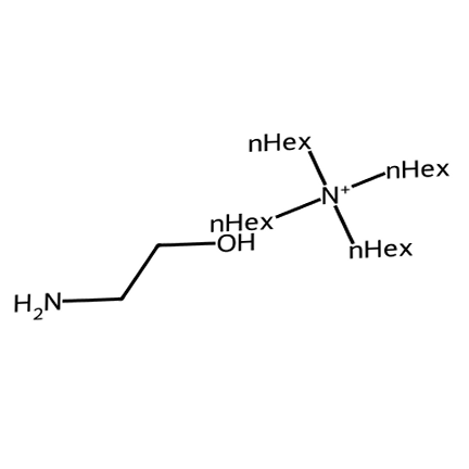 CCCCCC[N+](CCCCCC)(CCCCCC)CCCCCC.NCCO